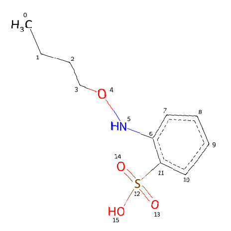 CCCCONc1ccccc1S(=O)(=O)O